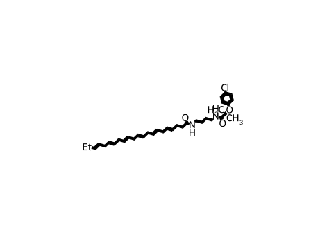 CCC=CCC=CCC=CCC=CCC=CCC=CCCC(=O)NCCCCNC(=O)C(C)(C)Oc1ccc(Cl)cc1